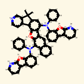 CC1(C)c2cnccc2-c2c1cc(N(c1ccccc1)c1cccc3c1oc1ncccc13)c1c2oc2c(N(c3ccccc3)c3cccc4c3oc3ncccc34)c3ccccc3cc21